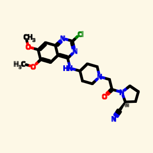 COc1cc2nc(Cl)nc(NC3CCN(CC(=O)N4CCC[C@H]4C#N)CC3)c2cc1OC